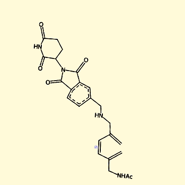 C=C(/C=C\C(=C)CNC(C)=O)CNCc1ccc2c(c1)C(=O)N(C1CCC(=O)NC1=O)C2=O